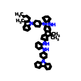 C=C/C=C\c1c(C)c2ccccc2n1C1C=CC(Nc2ccccc2Nc2ccc3c(c2)C(C)(C)c2cc(Nc4ccccc4Nc4ccc(-n5c6ccccc6c6ccccc65)cc4)ccc2-3)=CC1